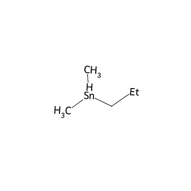 CC[CH2][SnH]([CH3])[CH3]